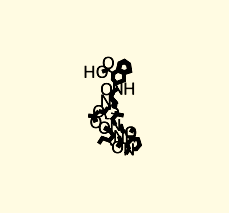 CC[C@H](C)[C@H](NC(=O)[C@H]1CCCCN1C)C(=O)N(CCOC)[C@H](C[C@@H](OC(C)=O)c1nc(C(=O)N[C@H]2Cc3ccccc3[C@H](C(=O)O)C2)cs1)C(C)C